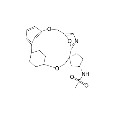 CS(=O)(=O)N[C@H]1CC[C@@]2(COC3CCC(CC3)c3cccc(c3)OCc3cnc2o3)C1